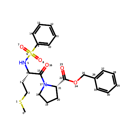 CSCC[C@H](NS(=O)(=O)c1ccccc1)C(=O)N1CCC[C@H]1C(=O)OCc1ccccc1